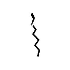 C=C[P]CCCCCC